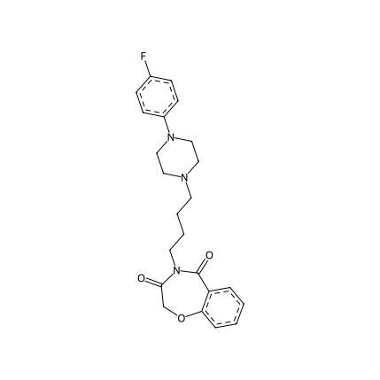 O=C1COc2ccccc2C(=O)N1CCCCN1CCN(c2ccc(F)cc2)CC1